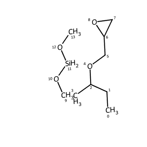 CCC(C)OCC1CO1.CO[SiH2]OC